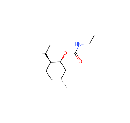 CCNC(=O)O[C@H]1C[C@H](C)CC[C@H]1C(C)C